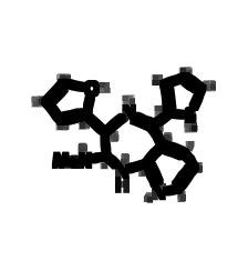 CNC1Nc2ncccc2C(c2cccs2)=NC1c1ccco1